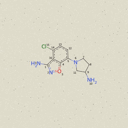 Nc1noc2c(N3CCC(N)C3)ccc(Cl)c12